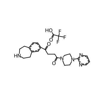 O=C(CCC(=O)N1CCN(c2ncccn2)CC1)c1ccc2c(c1)CCNCC2.O=C(O)C(F)(F)F